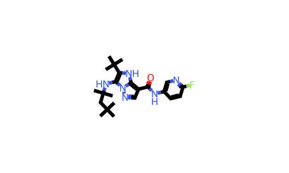 CC(C)(C)CC(C)(C)Nc1c(C(C)(C)C)[nH]c2c(C(=O)Nc3ccc(F)nc3)cnn12